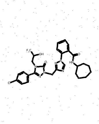 O=C(NC1CCCCCC1)c1ccccc1-n1cnc(Cn2nc(-c3ccc(Cl)cc3)n(CC(O)C(F)(F)F)c2=O)n1